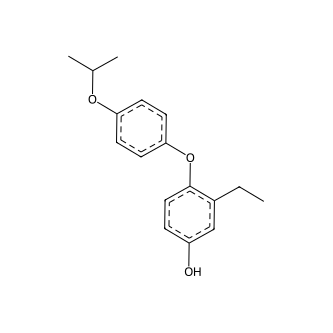 CCc1cc(O)ccc1Oc1ccc(OC(C)C)cc1